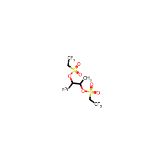 CCCC(OS(=O)(=O)CC(F)(F)F)C(C)OS(=O)(=O)CC(F)(F)F